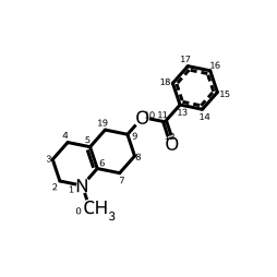 CN1CCCC2=C1CCC(OC(=O)c1ccccc1)C2